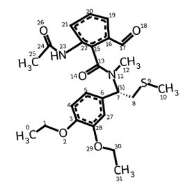 CCOc1ccc([C@@H](CSC)N(C)C(=O)c2c(C=O)cccc2NC(C)=O)cc1OCC